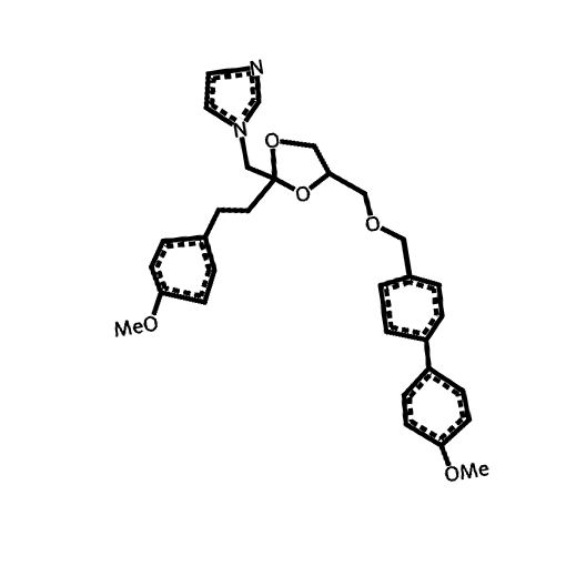 COc1ccc(CCC2(Cn3ccnc3)OCC(COCc3ccc(-c4ccc(OC)cc4)cc3)O2)cc1